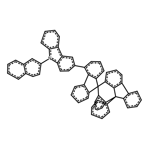 c1ccc(C23c4ccccc4-c4cccc(c42)C2(c4ccccc4-c4c(-c5ccc6c(c5)c5ccccc5n6-c5ccc6ccccc6c5)cccc42)c2ccccc23)cc1